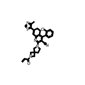 C=CC(=O)N1CC2(CCN(c3nc4c(c(-c5ccccc5Cl)c3C#N)CCC(c3scnc3C)=C4)C2)C1